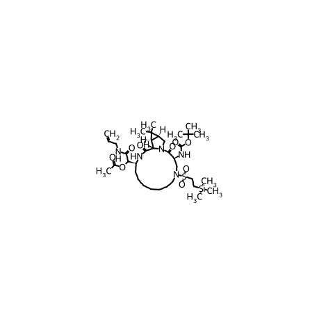 C=CCNC(=O)C(OC(C)=O)[C@@H]1CCCCCCCN(S(=O)(=O)CC[Si](C)(C)C)C[C@H](NC(=O)OC(C)(C)C)C(=O)N2C[C@H]3[C@@H]([C@H]2C(=O)N1)C3(C)C